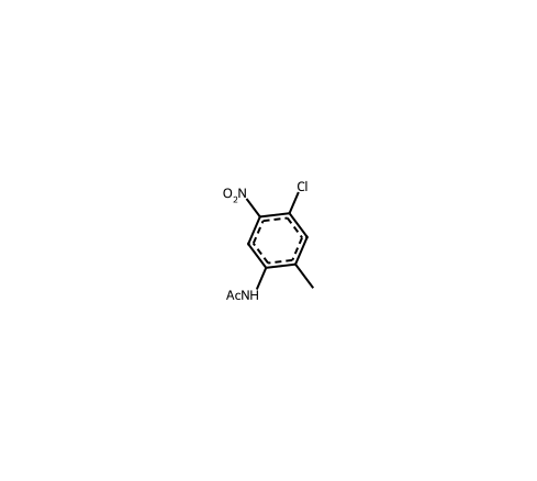 CC(=O)Nc1cc([N+](=O)[O-])c(Cl)cc1C